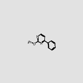 CC(C)Oc1nccc(-c2ccccc2)n1